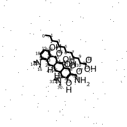 CCCCCCCCCCCC(=O)O.CN(C)c1ccc(O)c2c1C[C@H]1C[C@@H]3[C@H](N(C)C)C(O)=C(C(N)=O)C(=O)[C@@]3(O)C(O)=C1C2=O